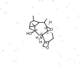 CC1CC[C@@]2(O)C[C@]3(N)[C@@H]4COC4CC[C@]34O[C@@H]4C(C)C1C2(C)C